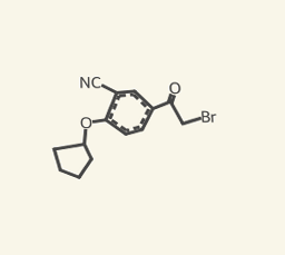 N#Cc1cc(C(=O)CBr)ccc1OC1CCCC1